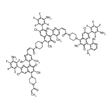 C=CC(=O)N1CCN(c2c(C#N)c(=O)n(-c3c(C)cc(/C=C\C(=O)N4CCN(c5c(C#N)c(=O)n(-c6c(C)cc(/C=C\C(=O)N7CCN(c8c(C#N)c(=O)n(-c9c(C)ccnc9C(C)C)c9nc(-c%10c(F)c(N)c(F)c(F)c%10F)c(Cl)cc89)CC7)nc6C(C)C)c6nc(-c7c(F)c(N)c(F)c(F)c7F)c(Cl)cc56)CC4)nc3C(C)C)c3nc(-c4c(F)c(N)c(F)c(F)c4F)c(Cl)cc23)CC1